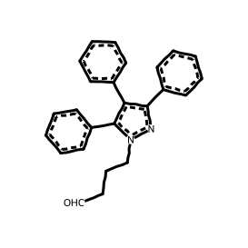 O=CCCCn1nc(-c2ccccc2)c(-c2ccccc2)c1-c1ccccc1